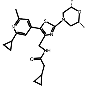 Cc1cc(-c2sc(N3C[C@@H](C)O[C@@H](C)C3)nc2CNC(=O)CC2CC2)cc(C2CC2)n1